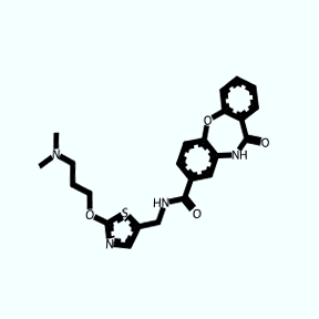 CN(C)CCCOc1ncc(CNC(=O)c2ccc3c(c2)NC(=O)c2ccccc2O3)s1